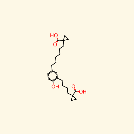 O=C(O)C1(CCCCCCc2ccc(O)c(CCCCC3(C(=O)O)CC3)c2)CC1